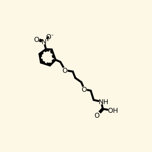 O=C(O)NCCOCCCOCc1cccc([N+](=O)[O-])c1